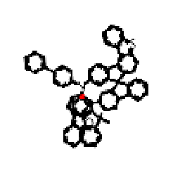 CC1(C)c2ccccc2-c2ccc(N(c3ccc(-c4ccccc4)cc3)c3ccc4c(c3)C3(c5ccccc5-c5ccc(-c6cccc7c6oc6ccccc67)cc53)c3ccc5sc6ccccc6c5c3-4)cc21